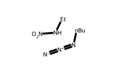 CCCCN=[N+]=[N-].CCN[N+](=O)[O-]